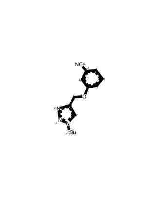 CC(C)(C)n1cc(COc2cccc(C#N)c2)nn1